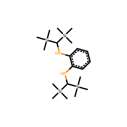 C[Si](C)(C)C(Pc1ccccc1PC([Si](C)(C)C)[Si](C)(C)C)[Si](C)(C)C